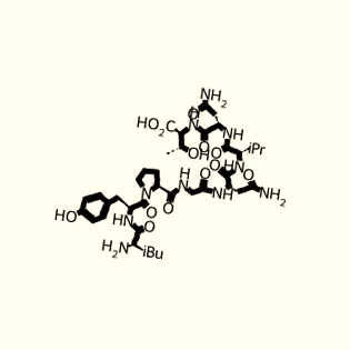 CC[C@H](C)[C@H](N)C(=O)N[C@@H](Cc1ccc(O)cc1)C(=O)N1CCC[C@H]1C(=O)NCC(=O)N[C@@H](CC(N)=O)C(=O)N[C@H](C(=O)N[C@@H](CC(N)=O)C(=O)N[C@H](C(=O)O)[C@@H](C)O)C(C)C